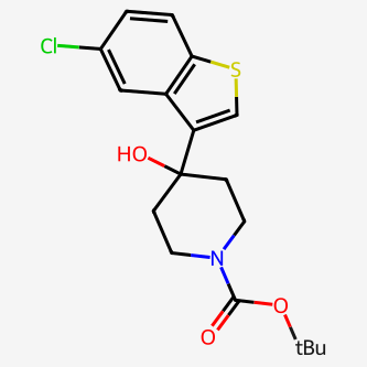 CC(C)(C)OC(=O)N1CCC(O)(c2csc3ccc(Cl)cc23)CC1